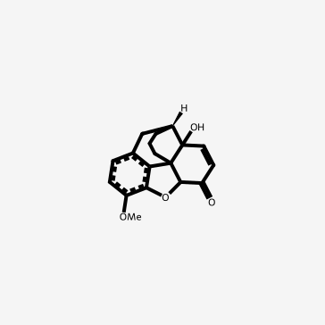 COc1ccc2c3c1OC1C(=O)C=CC4(O)[C@H](CCCC314)C2